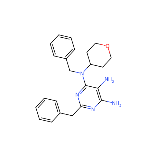 Nc1nc(Cc2ccccc2)nc(N(Cc2ccccc2)C2CCOCC2)c1N